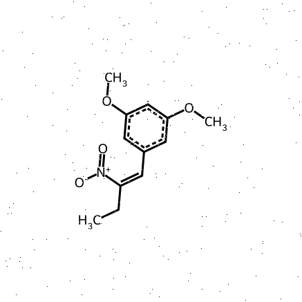 CCC(=Cc1cc(OC)[c]c(OC)c1)[N+](=O)[O-]